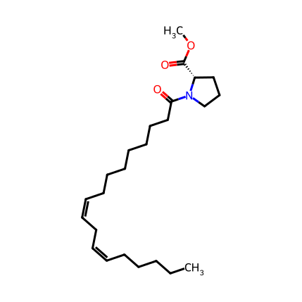 CCCCC/C=C\C/C=C\CCCCCCCC(=O)N1CCC[C@H]1C(=O)OC